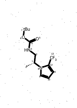 C[C@H](CNC(=O)OC(C)(C)C)n1cccc1C(F)(F)F